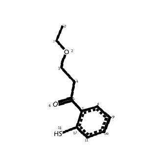 [CH2]COCCC(=O)c1ccccc1S